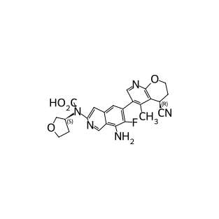 Cc1c(-c2cc3cc(N(C(=O)O)[C@H]4CCOC4)ncc3c(N)c2F)cnc2c1[C@H](C#N)CCO2